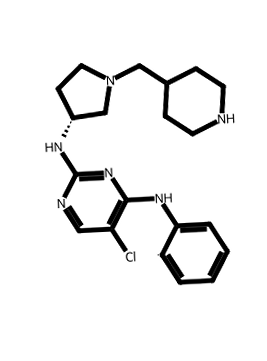 Clc1cnc(N[C@@H]2CCN(CC3CCNCC3)C2)nc1Nc1[c]cccc1